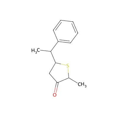 CC1SC(C(C)c2ccccc2)CC1=O